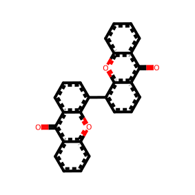 O=c1c2ccccc2oc2c(-c3cccc4c(=O)c5ccccc5oc34)cccc12